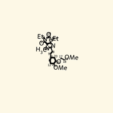 CCn1c(=O)c2c(nc(C=Cc3ccc(OC)c(OCCOC)c3)n2C)n(CC)c1=O